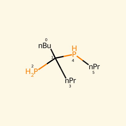 CCCCC(P)(CCC)PCCC